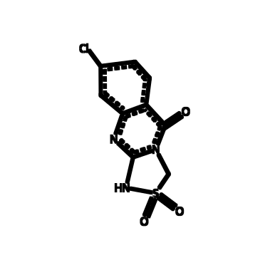 O=c1c2ccc(Cl)cc2nc2n1CS(=O)(=O)N2